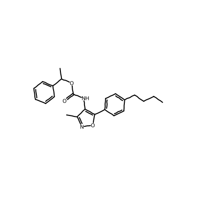 CCCCc1ccc(-c2onc(C)c2NC(=O)OC(C)c2ccccc2)cc1